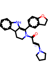 O=C(/C=C/N1CCCC1)N1CCC2C(=C1c1ccc3c(c1)CCO3)Nc1ccccc12